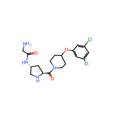 NCC(=O)N[C@H]1CN[C@H](C(=O)N2CCC(Oc3cc(Cl)cc(Cl)c3)CC2)C1